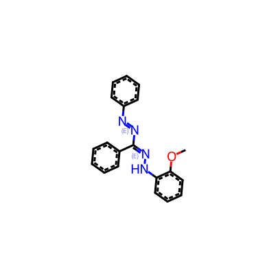 COc1ccccc1N/N=C(/N=N/c1ccccc1)c1ccccc1